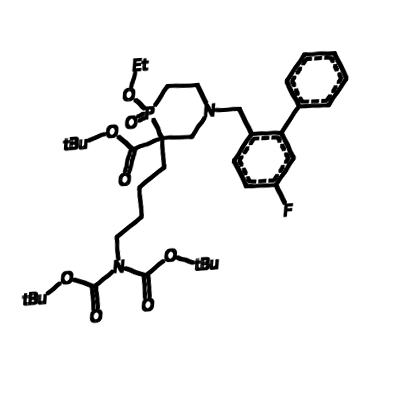 CCOP1(=O)CCN(Cc2ccc(F)cc2-c2ccccc2)CC1(CCCCN(C(=O)OC(C)(C)C)C(=O)OC(C)(C)C)C(=O)OC(C)(C)C